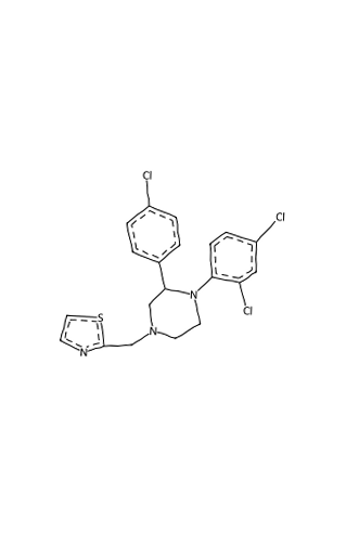 Clc1ccc(C2CN(Cc3nccs3)CCN2c2ccc(Cl)cc2Cl)cc1